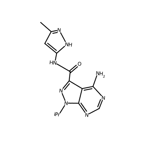 Cc1cc(NC(=O)c2nn(C(C)C)c3ncnc(N)c23)[nH]n1